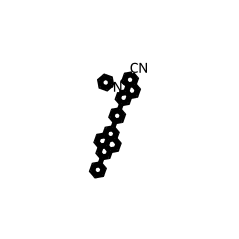 N#Cc1cc2ccc3cc(-c4ccc(-c5cc6ccc7cc(-c8ccccc8)cc8ccc(c5)c6c78)cc4)cc4c3c2c(c1)n4-c1ccccc1